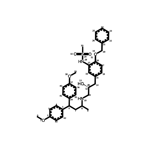 COc1ccc(C(CC(C)NC[C@H](O)Cc2ccc(OCc3ccccc3)c(NS(C)(=O)=O)c2)c2ccc(OC)cc2)cc1